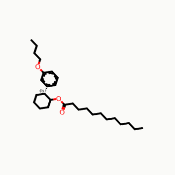 CCCCCCCCCCCC(=O)OC1CCCC[C@@H]1c1cccc(OCCCC)c1